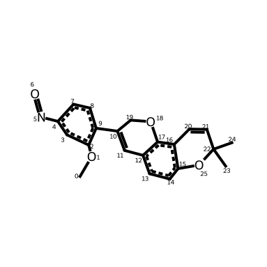 COc1cc(N=O)ccc1C1=Cc2ccc3c(c2OC1)C=CC(C)(C)O3